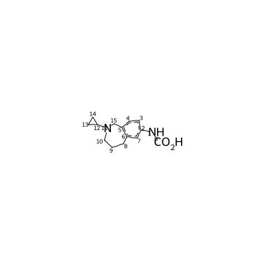 O=C(O)Nc1ccc2c(c1)CCCN(C1CC1)C2